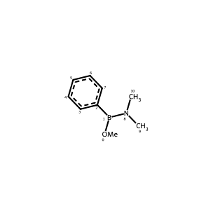 COB(c1ccccc1)N(C)C